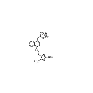 Cc1oc(C(C)(C)C)nc1CCOc1ccc(CC(OC(C)C)C(=O)O)c2ccccc12